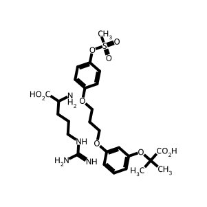 CC(C)(Oc1cccc(OCCCOc2ccc(OS(C)(=O)=O)cc2)c1)C(=O)O.N=C(N)NCCCC(N)C(=O)O